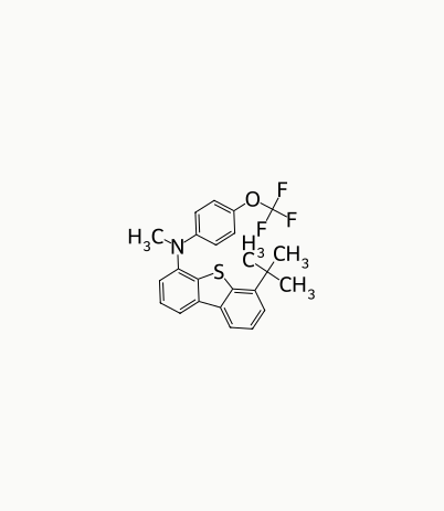 CN(c1ccc(OC(F)(F)F)cc1)c1cccc2c1sc1c(C(C)(C)C)cccc12